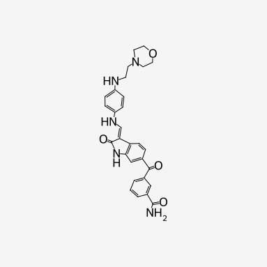 NC(=O)c1cccc(C(=O)c2ccc3c(c2)NC(=O)C3=CNc2ccc(NCCN3CCOCC3)cc2)c1